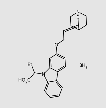 B.CCC(C(=O)O)n1c2ccccc2c2ccc(OCC=C3CN4CCC3CC4)cc21